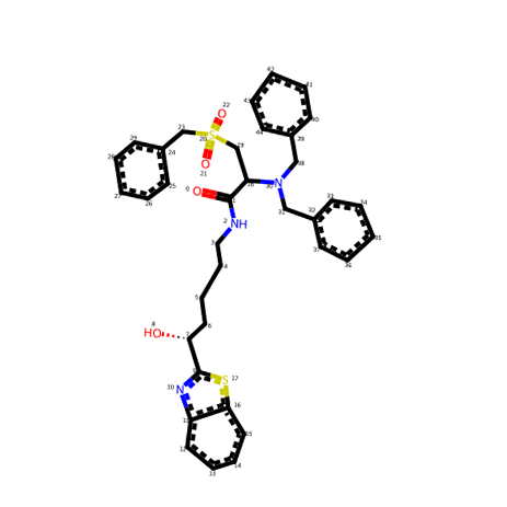 O=C(NCCCC[C@@H](O)c1nc2ccccc2s1)C(CS(=O)(=O)Cc1ccccc1)N(Cc1ccccc1)Cc1ccccc1